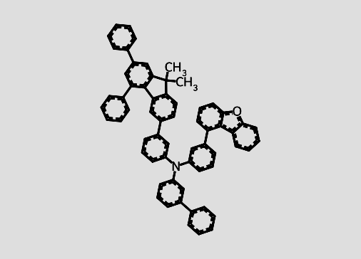 CC1(C)c2ccc(-c3cccc(N(c4cccc(-c5ccccc5)c4)c4cccc(-c5cccc6oc7ccccc7c56)c4)c3)cc2-c2c(-c3ccccc3)cc(-c3ccccc3)cc21